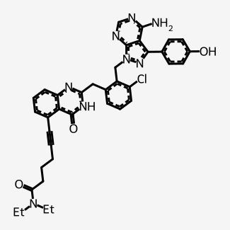 CCN(CC)C(=O)CCCC#Cc1cccc2nc(Cc3cccc(Cl)c3Cn3nc(-c4ccc(O)cc4)c4c(N)ncnc43)[nH]c(=O)c12